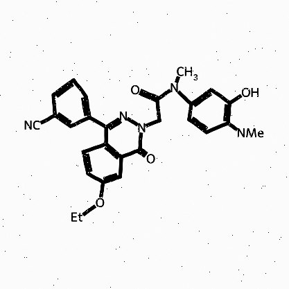 CCOc1ccc2c(-c3cccc(C#N)c3)nn(CC(=O)N(C)c3ccc(NC)c(O)c3)c(=O)c2c1